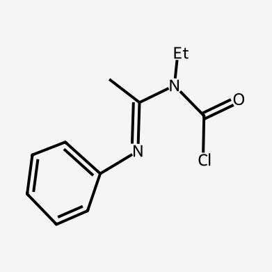 CCN(C(=O)Cl)C(C)=Nc1ccccc1